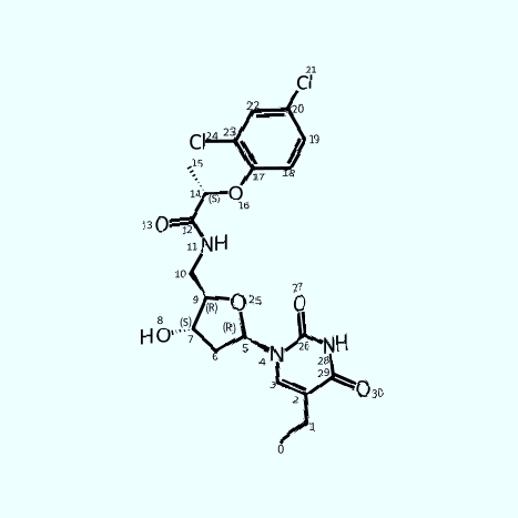 CCc1cn([C@H]2C[C@H](O)[C@@H](CNC(=O)[C@H](C)Oc3ccc(Cl)cc3Cl)O2)c(=O)[nH]c1=O